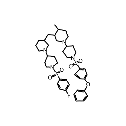 CC1CCN(C2CCN(S(=O)(=O)c3ccc(Oc4ccccc4)cc3)CC2)CC1CC1CCCN(C2CCN(S(=O)(=O)c3ccc(F)cc3)CC2)C1